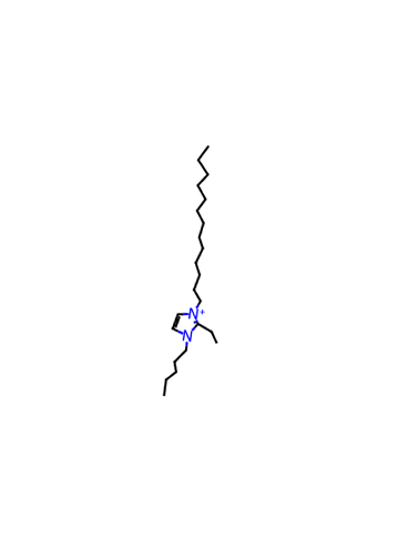 CCCCCCCCCCCCC[n+]1ccn(CCCCC)c1CC